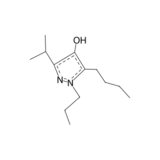 CCCCc1c(O)c(C(C)C)nn1CCC